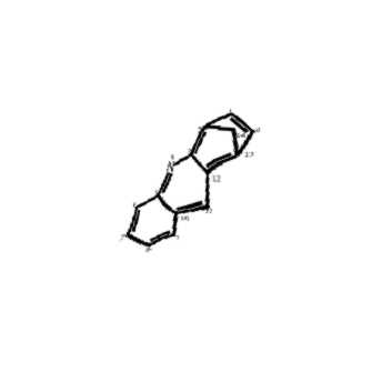 C1=CC2=c3nc4ccccc4cc3=C1C2